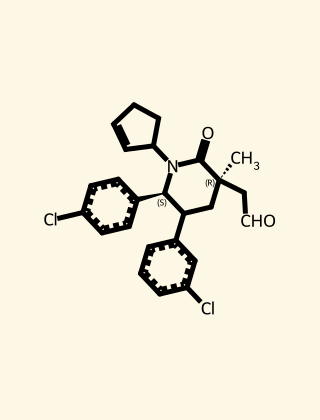 C[C@]1(CC=O)CC(c2cccc(Cl)c2)[C@@H](c2ccc(Cl)cc2)N(C2C=CCC2)C1=O